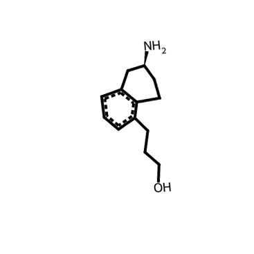 N[C@H]1CCc2c(CCCO)cccc2C1